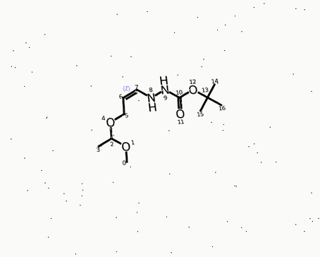 COC(C)OC/C=C\NNC(=O)OC(C)(C)C